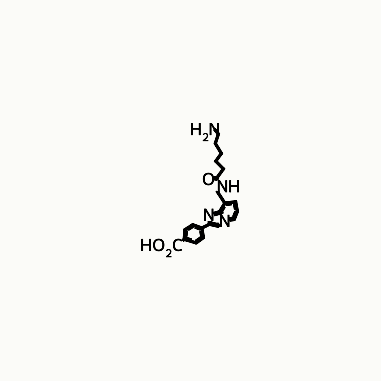 NCCCCCC(=O)NCc1cccn2cc(-c3ccc(C(=O)O)cc3)nc12